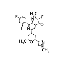 Cc1nc2c(-c3ccc(F)cc3F)nc([C@@H]3C[C@@H](C)O[C@H](c4cnn(C)c4)C3)cn2c(=O)c1F